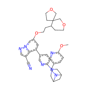 COc1ccc(CN2C3CC2CN(c2ccc(-c4cc(OCCC5CCOCC56CCOC6)cn5ncc(C#N)c45)cn2)C3)cn1